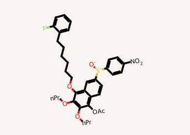 CCCOc1c(OCCC)c(OC(C)=O)c2ccc([S+]([O-])c3ccc([N+](=O)[O-])cc3)cc2c1OCCCCCCc1ccccc1F